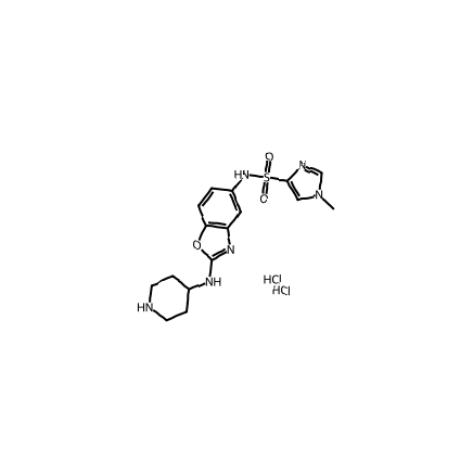 Cl.Cl.Cn1cnc(S(=O)(=O)Nc2ccc3oc(NC4CCNCC4)nc3c2)c1